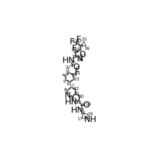 O=C(Cc1ccc(-c2cnc3[nH]c(C(=O)NC4CNC4)cc3c2)cc1F)Nc1cc(C2(C(F)(F)F)CC2)on1